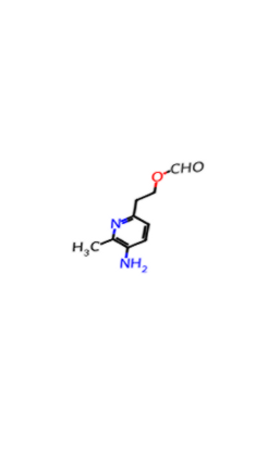 Cc1nc(CCOC=O)ccc1N